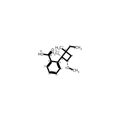 CCC1(C)C[C@H](OC)[C@@]1(C)c1ccccc1C(=O)O